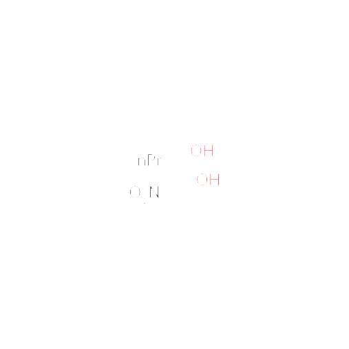 CCCO.O=[N+]([O-])O